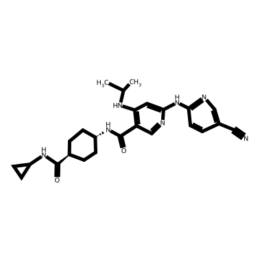 CC(C)Nc1cc(Nc2ccc(C#N)cn2)ncc1C(=O)N[C@H]1CC[C@H](C(=O)NC2CC2)CC1